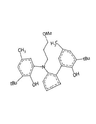 COCCCN(c1ccccc1-c1cc(C)cc(C(C)(C)C)c1O)c1cc(C)cc(C(C)(C)C)c1O